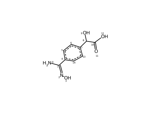 N/C(=N/O)c1ccc(C(O)C(=O)O)cc1